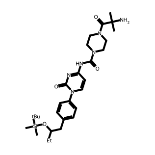 CCC(Cc1ccc(-n2ccc(NC(=O)N3CCN(C(=O)C(C)(C)N)CC3)nc2=O)cc1)O[Si](C)(C)C(C)(C)C